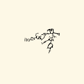 CN(c1nc(-c2ccc(F)cc2)c(C#N)s1)c1c(C2CC2)nn2ccc(N3CCN(CC(=O)N4CC(O)C4)CC3)cc12